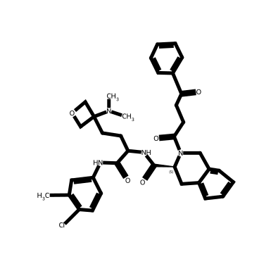 Cc1cc(NC(=O)C(CCC2(N(C)C)COC2)NC(=O)[C@@H]2Cc3ccccc3CN2C(=O)CCC(=O)c2ccccc2)ccc1Cl